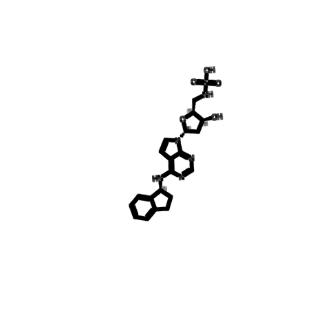 O=S(=O)(O)NC[C@@H]1O[C@@H](n2ccc3c(N[C@H]4CCc5ccccc54)ncnc32)C[C@@H]1O